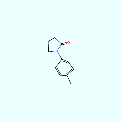 Cc1ccc(N2CCCC2=O)cc1